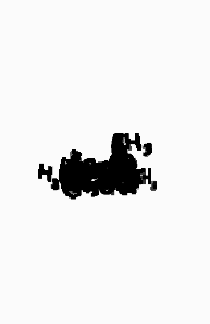 CCOCC(=O)OCOc1c(OC)ccnc1C(=O)N[C@H]1CCC[C@H](CCC(C)C)[C@@H](OCC2CC2)[C@H](C)OC1=O